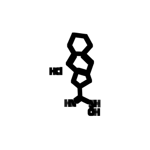 Cl.N=C(NO)C1Cc2cc3c(cc2C1)CCCC3